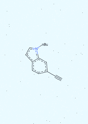 C#Cc1ccc2ccn(CCCC)c2c1